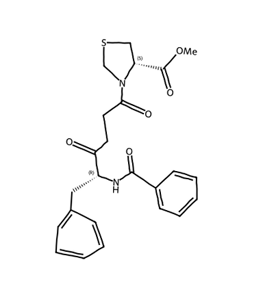 COC(=O)[C@H]1CSCN1C(=O)CCC(=O)[C@@H](Cc1ccccc1)NC(=O)c1ccccc1